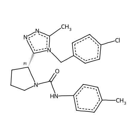 Cc1ccc(NC(=O)N2CCC[C@@H]2c2nnc(C)n2Cc2ccc(Cl)cc2)cc1